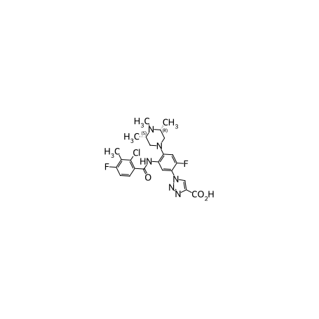 Cc1c(F)ccc(C(=O)Nc2cc(-n3cc(C(=O)O)nn3)c(F)cc2N2C[C@@H](C)N(C)[C@@H](C)C2)c1Cl